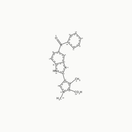 Cc1c(-c2nc3cc(C(=O)c4ccccc4)ccc3[nH]2)cn(C)c1C(=O)O